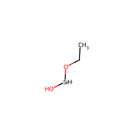 CCO[SiH]O